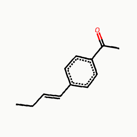 CC/C=C/c1ccc(C(C)=O)cc1